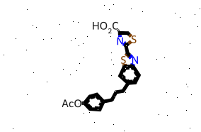 CC(=O)Oc1ccc(CCCc2ccc3nc(C4=N[C@@H](C(=O)O)CS4)sc3c2)cc1